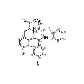 CC(=O)OC(=O)[C@H](Cc1ccc(F)cc1)NC(=O)[C@H](Cc1ccccc1)NC(=O)c1ccc(F)cc1